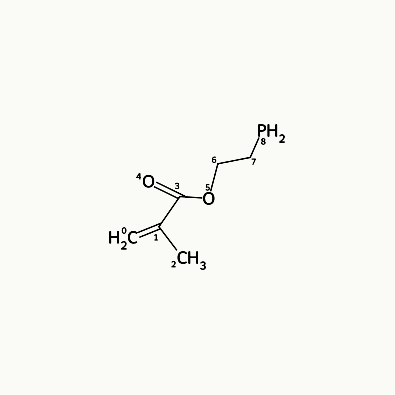 C=C(C)C(=O)OCCP